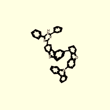 c1ccc(C2=NC(c3ccc4sc5ccc(-c6cccc7oc8ccc(-n9c%10ccccc%10c%10ccccc%109)cc8c67)cc5c4c3)=NC(c3ccccc3)N2)cc1